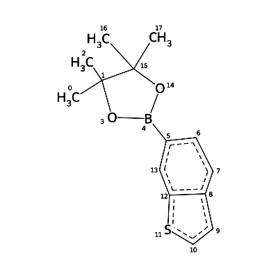 CC1(C)OB(c2ccc3ccsc3c2)OC1(C)C